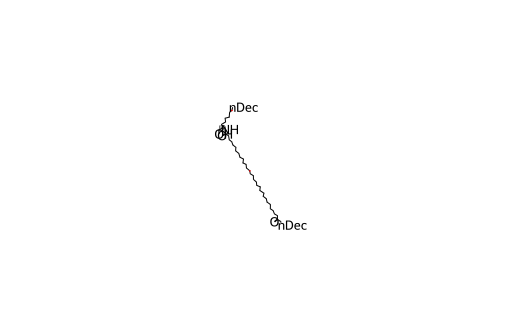 CCCCCCCCCCCCCCCC[C@H](CO)NC(=O)CCCCCCCCCCCCCCCCCCCCCCCCCCCCCC(=O)CCCCCCCCCCC